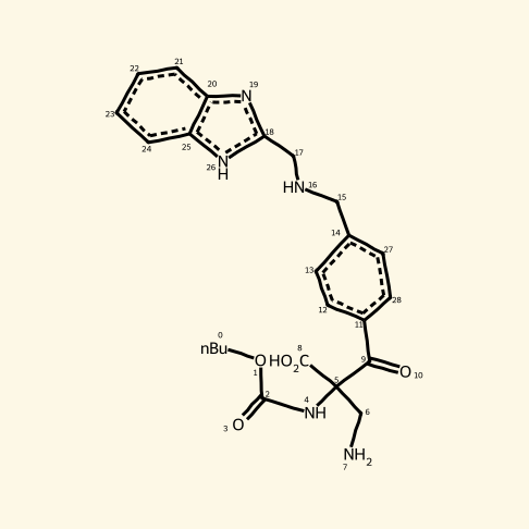 CCCCOC(=O)NC(CN)(C(=O)O)C(=O)c1ccc(CNCc2nc3ccccc3[nH]2)cc1